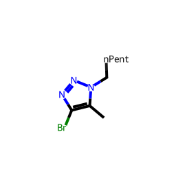 CCCCCCn1nnc(Br)c1C